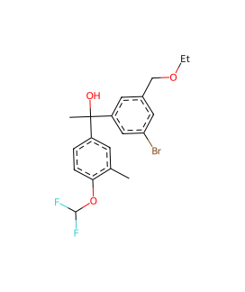 CCOCc1cc(Br)cc(C(C)(O)c2ccc(OC(F)F)c(C)c2)c1